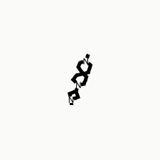 CN1CCC2(CC1)CCN(C1CN(C)C1)CC2